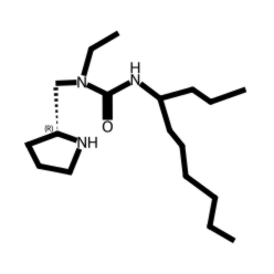 CCCCCCC(CCC)NC(=O)N(CC)C[C@H]1CCCN1